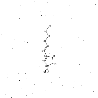 CCCCC=CC1=CC(=O)CC1